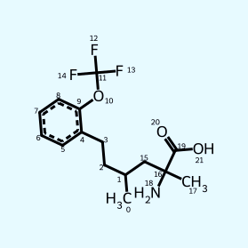 CC(CCc1ccccc1OC(F)(F)F)CC(C)(N)C(=O)O